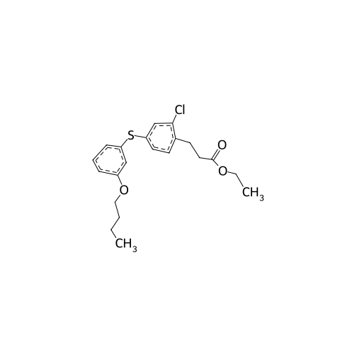 CCCCOc1cccc(Sc2ccc(CCC(=O)OCC)c(Cl)c2)c1